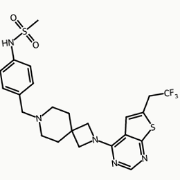 CS(=O)(=O)Nc1ccc(CN2CCC3(CC2)CN(c2ncnc4sc(CC(F)(F)F)cc24)C3)cc1